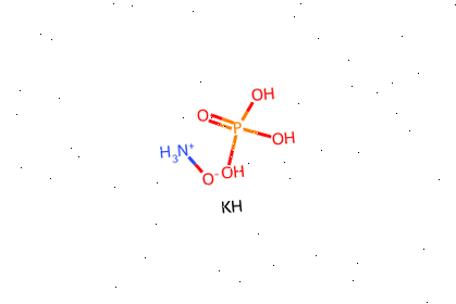 O=P(O)(O)O.[KH].[NH3+][O-]